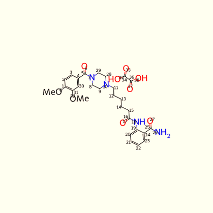 COc1ccc(C(=O)N2CCN(CCCCCC(=O)Nc3ccccc3C(N)=O)CC2)cc1OC.O=C(O)C(=O)O